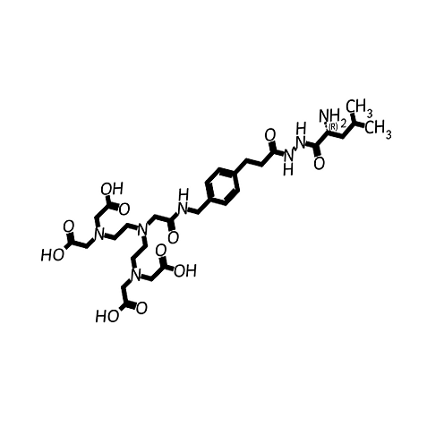 CC(C)C[C@@H](N)C(=O)NNC(=O)CCc1ccc(CNC(=O)CN(CCN(CC(=O)O)CC(=O)O)CCN(CC(=O)O)CC(=O)O)cc1